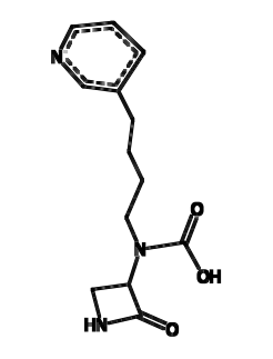 O=C1NCC1N(CCCCc1cccnc1)C(=O)O